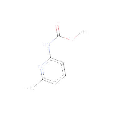 CC(C)(C)OC(=O)Nc1cccc([N+](=O)[O-])n1